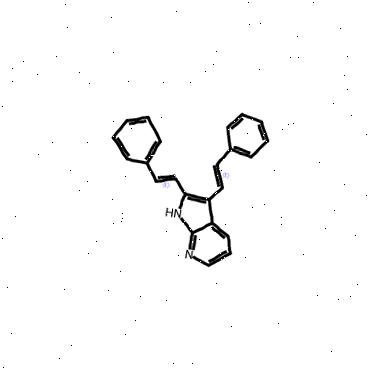 C(=C\c1[nH]c2ncccc2c1/C=C/c1ccccc1)/c1ccccc1